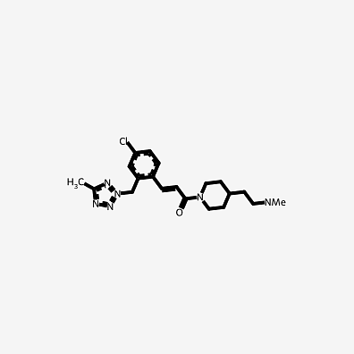 CNCCC1CCN(C(=O)C=Cc2ccc(Cl)cc2Cn2nnc(C)n2)CC1